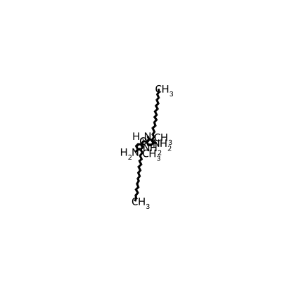 CCCCCCCCCCCCCCCCCC(C)c1c(N)ccc(Oc2ccc(N)c(C(C)CCCCCCCCCCCCCCCCC)c2N)c1N